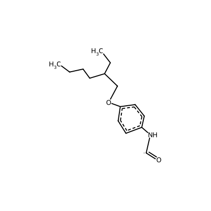 CCCCC(CC)COc1ccc(N[C]=O)cc1